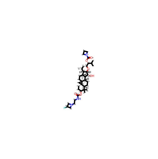 CC(C)[C@@H](OC(=O)N1CCC1)[C@H]1C[C@@H](C)[C@H]2[C@H](O1)[C@H](O)[C@@]1(C)[C@@H]3CC[C@H]4C(C)(C)[C@@H](OC(=O)NCCN5CC(F)C5)CC[C@@]45CC35CC[C@]21C